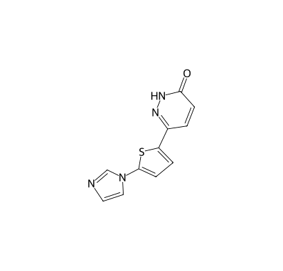 O=c1ccc(-c2ccc(-n3ccnc3)s2)n[nH]1